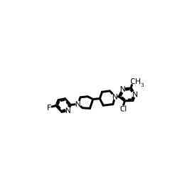 Cc1ncc(Cl)c(N2CCC(C3CCN(c4ccc(F)cn4)CC3)CC2)n1